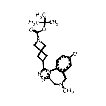 CN1Cc2cc(Cl)ccc2-n2c(nnc2C2CC3(C2)CN(C(=O)OC(C)(C)C)C3)C1